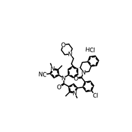 Cc1c(N(C(=O)c2cc(-c3cc(Cl)ccc3C(=O)N3Cc4ccccc4C[C@H]3CCCN3CCOCC3)n(C)c2C)c2ccccc2)cc(C#N)n1C.Cl